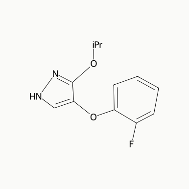 CC(C)Oc1n[nH]cc1Oc1ccccc1F